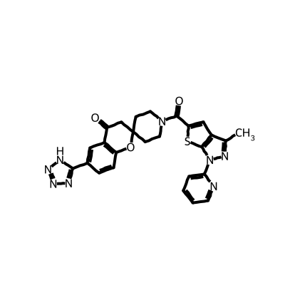 Cc1nn(-c2ccccn2)c2sc(C(=O)N3CCC4(CC3)CC(=O)c3cc(-c5nnn[nH]5)ccc3O4)cc12